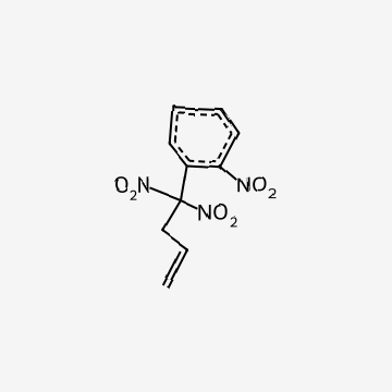 C=CCC(c1ccccc1[N+](=O)[O-])([N+](=O)[O-])[N+](=O)[O-]